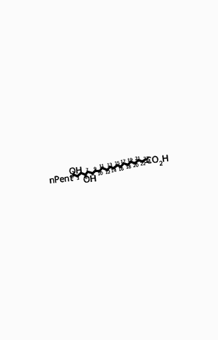 CCCCCC(O)CCC(O)CCCCCCCCCCCCCCCCCC(=O)O